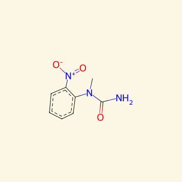 CN(C(N)=O)c1ccccc1[N+](=O)[O-]